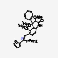 CCCCC/C(=C\c1ccc2c(c1O)C(O)(c1ccccc1)C(OC)C(=O)N2)c1ccco1